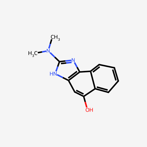 CN(C)c1nc2c(cc(O)c3ccccc32)[nH]1